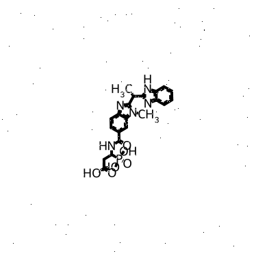 CC(c1nc2ccccc2[nH]1)c1nc2ccc(C(=O)NC(CC(=O)O)P(=O)(O)O)cc2n1C